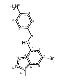 Nc1ccc(CNc2cc(Br)cc3[nH]ncc23)cc1